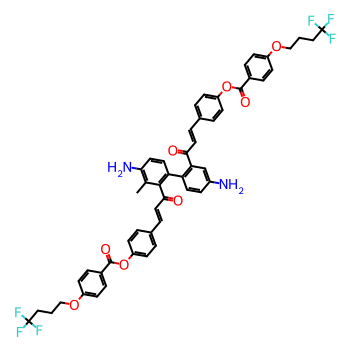 Cc1c(N)ccc(-c2ccc(N)cc2C(=O)C=Cc2ccc(OC(=O)c3ccc(OCCCC(F)(F)F)cc3)cc2)c1C(=O)C=Cc1ccc(OC(=O)c2ccc(OCCCC(F)(F)F)cc2)cc1